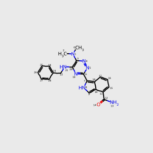 CN(C)c1nnc(-c2[nH]cc3c(C(N)=O)cccc23)nc1NCc1ccccc1